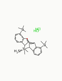 CC1=Cc2c(cccc2[Si](C)(C)C)[CH]1[Ti]([CH3])([CH3])(=[SiH2])[CH]1C(C)=Cc2c1cccc2[Si](C)(C)C.Cl.Cl